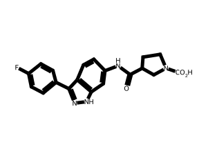 O=C(Nc1ccc2c(-c3ccc(F)cc3)n[nH]c2c1)C1CCN(C(=O)O)C1